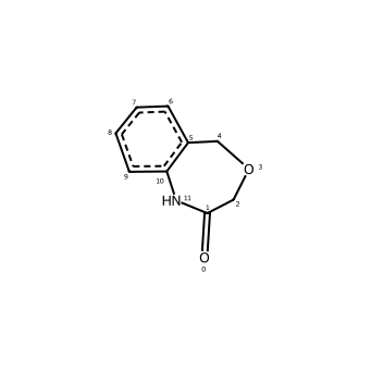 O=C1COCc2ccccc2N1